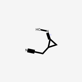 N#CCC1C/C1=N/O